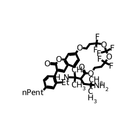 CCCCCc1ccc(-c2cc3ccc(OCCC(F)(F)OC(F)(F)OC(F)(F)CCOC(=O)C(CC(C)(C)N)C(C)(C)N)cc3oc2=O)c(CC)c1